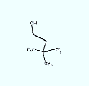 NC(CCO)(C(F)(F)F)C(F)(F)F